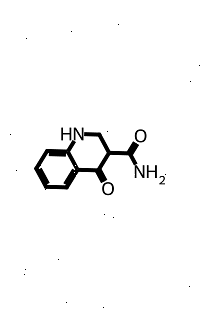 NC(=O)C1CNc2ccccc2C1=O